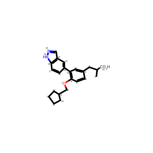 CC(Cc1ccc(OCC2CCCC2)c(-c2ccc3[nH]ncc3c2)c1)C(=O)O